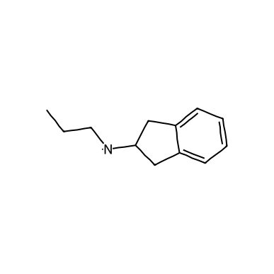 CCC[N]C1Cc2ccccc2C1